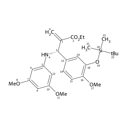 C=C(C(=O)OCC)[C@@H](Nc1cc(OC)cc(OC)c1)c1ccc(OC)c(O[Si](C)(C)C(C)(C)C)c1